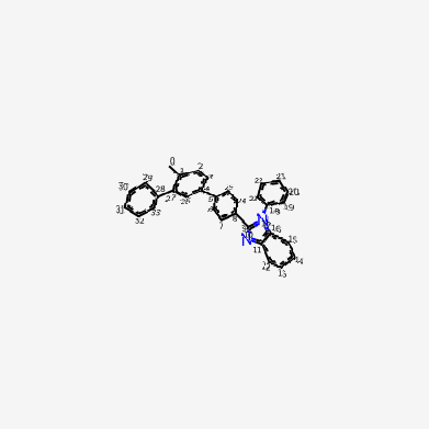 Cc1ccc(-c2ccc(-c3nc4ccccc4n3-c3ccccc3)cc2)cc1-c1ccccc1